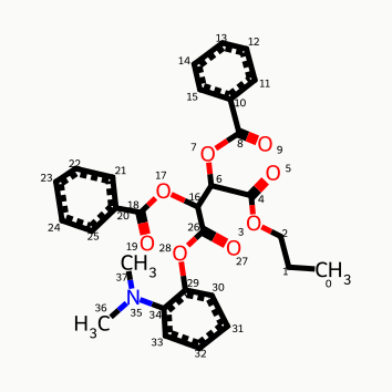 CCCOC(=O)C(OC(=O)c1ccccc1)C(OC(=O)c1ccccc1)C(=O)Oc1ccccc1N(C)C